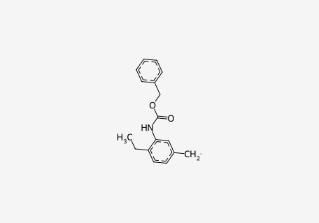 [CH2]c1ccc(CC)c(NC(=O)OCc2ccccc2)c1